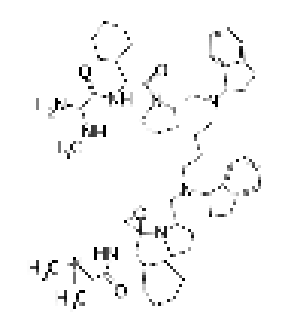 CN[C@@H](C)C(=O)NC(C1CCCCC1)C1(N2CCC[C@H]2CN(CCCCN(C[C@@H]2CCCN2C(=O)C(NC(=O)[C@H](N)NC)C2CCCCC2)C2CCc3ccccc32)C2CCc3ccccc32)CO1